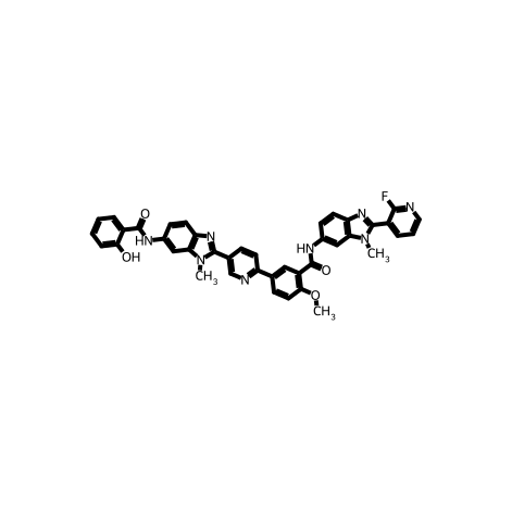 COc1ccc(-c2ccc(-c3nc4ccc(NC(=O)c5ccccc5O)cc4n3C)cn2)cc1C(=O)Nc1ccc2nc(-c3cccnc3F)n(C)c2c1